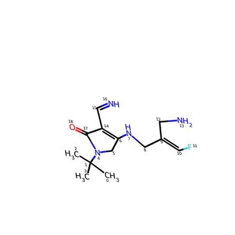 CC(C)(C)N1CC(NC/C(=C/F)CN)=C(C=N)C1=O